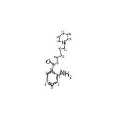 Nc1ccccc1C(=O)CCCCCN1CC[CH]CC1